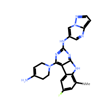 CNc1cc(F)cc2c1[nH]c1nc(Nc3cnc4ccnn4c3)nc(N3CC=C(N)CC3)c12